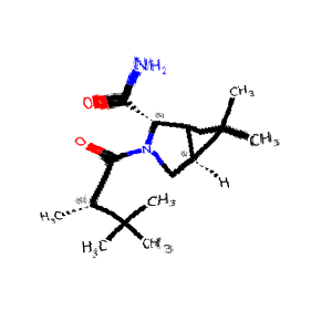 C[C@H](C(=O)N1C[C@H]2C([C@H]1C(N)=O)C2(C)C)C(C)(C)C